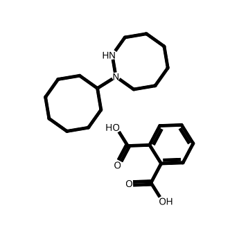 C1CCCC(N2CCCCCCN2)CCC1.O=C(O)c1ccccc1C(=O)O